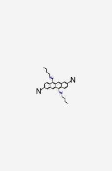 CCCC/C=C/c1c2ccc(C#N)cc2cc2c(/C=C/CCCC)c3ccc(C#N)cc3cc12